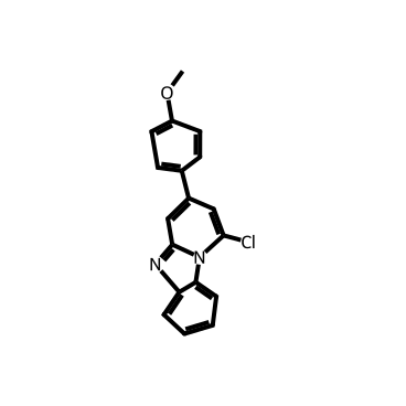 COc1ccc(-c2cc(Cl)n3c(c2)nc2ccccc23)cc1